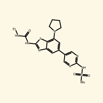 CCNC(=O)Nc1nc2cc(-c3cnc(NS(=O)(=O)C(C)(C)C)nc3)cc(N3CCCC3)c2s1